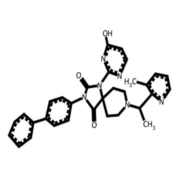 Cc1cccnc1C(C)N1CCC2(CC1)C(=O)N(c1ccc(-c3ccccc3)cc1)C(=O)N2c1nccc(O)n1